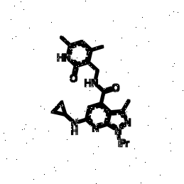 Cc1cc(C)c(CNC(=O)c2cc(NC3CC3)nc3c2c(C)nn3C(C)C)c(=O)[nH]1